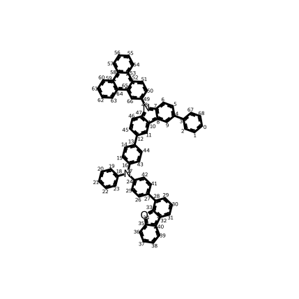 c1ccc(-c2ccc3c(c2)c2cc(-c4ccc(N(c5ccccc5)c5ccc(-c6cccc7c6oc6ccccc67)cc5)cc4)ccc2n3-c2ccc3c4ccccc4c4ccccc4c3c2)cc1